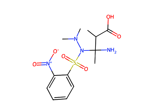 CC(C(=O)O)C(C)(N)N(N(C)C)S(=O)(=O)c1ccccc1[N+](=O)[O-]